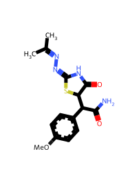 COc1ccc(C(C(N)=O)C2SC(=NN=C(C)C)NC2=O)cc1